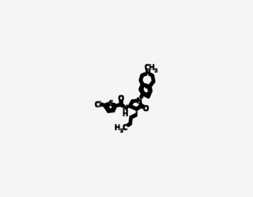 CCCC[C@H]1C(=O)N(c2ccc3c(c2)CCN(C)CC3)C[C@@H]1NC(=O)c1ccc(Cl)s1